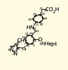 CCCCCCCOc1cc(Sc2nncn2C)ccc1CNc1ccc(CC(=O)O)cc1